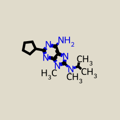 CC(C)N(C)c1nc2c(N)nc(C3CCCC3)nc2n1C